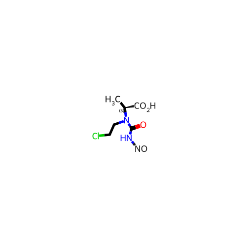 C[C@@H](C(=O)O)N(CCCl)C(=O)NN=O